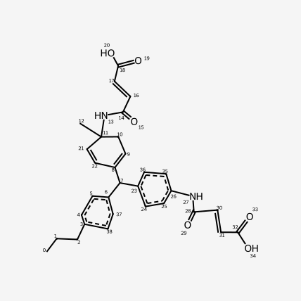 CCCc1ccc(C(C2=CCC(C)(NC(=O)/C=C/C(=O)O)C=C2)c2ccc(NC(=O)/C=C/C(=O)O)cc2)cc1